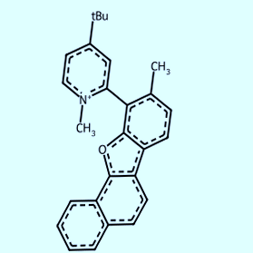 Cc1ccc2c(oc3c4ccccc4ccc23)c1-c1cc(C(C)(C)C)cc[n+]1C